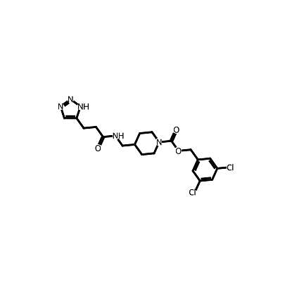 O=C(CCc1cnn[nH]1)NCC1CCN(C(=O)OCc2cc(Cl)cc(Cl)c2)CC1